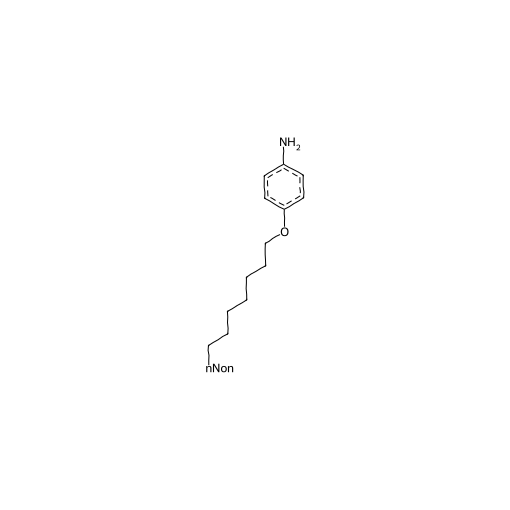 CCCCCCCCCCCCCCCCOc1ccc(N)cc1